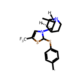 [CH]c1ccc(SC2SC(C(F)(F)F)=CN2[C@@H]2C3CCN(CC3)[C@H]2C)cc1